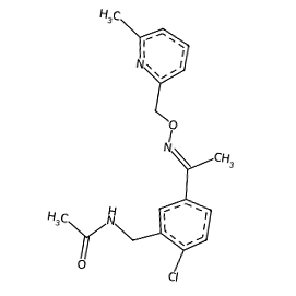 CC(=O)NCc1cc(C(C)=NOCc2cccc(C)n2)ccc1Cl